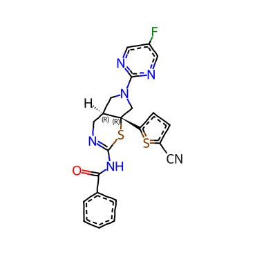 N#Cc1ccc([C@]23CN(c4ncc(F)cn4)C[C@@H]2CN=C(NC(=O)c2ccccc2)S3)s1